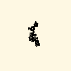 Cn1cc(-c2cc(F)cc(CNC(=O)c3ncnc4nc(C5CCS(=O)(=O)C5)[nH]c34)c2)cn1